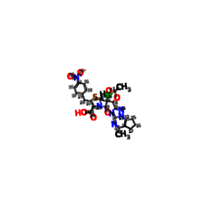 CC(=O)OC(c1nc2nc(C)c3c(n2n1)CCC3)C1(Br)C(=O)N2C(C(=O)O)=C(Cc3ccc([N+](=O)[O-])cc3)S[C@@H]21